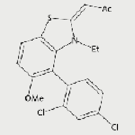 CCN1C(=CC(C)=O)Sc2ccc(OC)c(-c3ccc(Cl)cc3Cl)c21